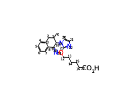 CC1Cc2ccccc2C(=NOCCCCCC(=O)O)C1n1ccnc1